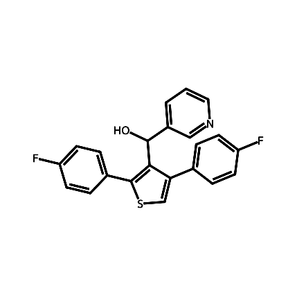 OC(c1cccnc1)c1c(-c2ccc(F)cc2)csc1-c1ccc(F)cc1